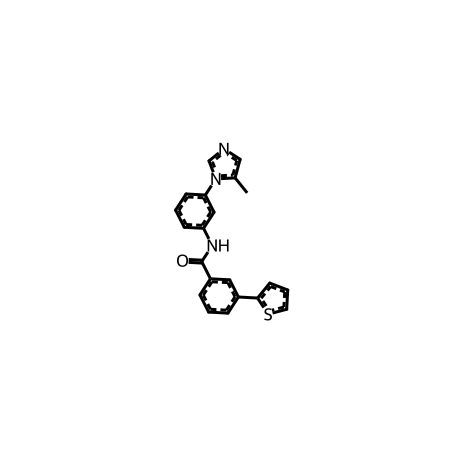 Cc1cncn1-c1cccc(NC(=O)c2cccc(-c3cccs3)c2)c1